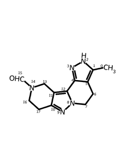 Cc1[nH]nc2c1CCn1nc3c(c1-2)CN(C=O)CC3